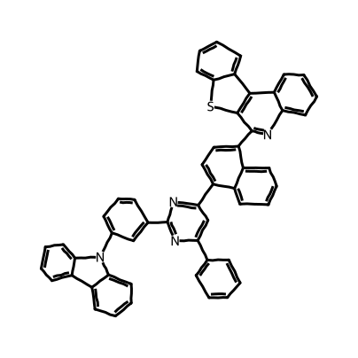 c1ccc(-c2cc(-c3ccc(-c4nc5ccccc5c5c4sc4ccccc45)c4ccccc34)nc(-c3cccc(-n4c5ccccc5c5ccccc54)c3)n2)cc1